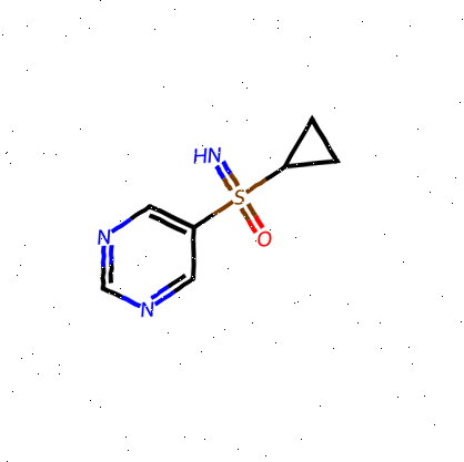 N=S(=O)(c1cncnc1)C1CC1